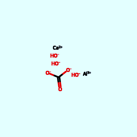 O=C([O-])[O-].[Al+3].[Ca+2].[OH-].[OH-].[OH-]